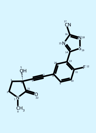 CN1CC[C@@](O)(C#Cc2ccc(F)c(-c3nc(C#N)ns3)c2)C1=O